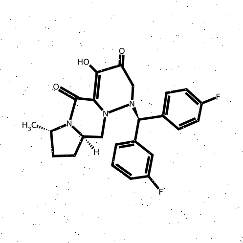 C[C@H]1CC[C@@H]2CN3C(=C(O)C(=O)CN3[C@@H](c3ccc(F)cc3)c3cccc(F)c3)C(=O)N21